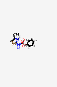 Cc1csc(NC(=O)Oc2ccccc2)n1